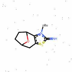 CCCCn1c2c(sc1=N)CC1CCC2O1